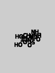 C[C@@]1(O)[C@H](O)[C@@H](CO)O[C@H]1n1c(=O)sc2c(=O)[nH]c(N)nc21